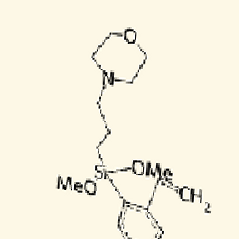 C=Cc1ccccc1[Si](CCCN1CCOCC1)(OC)OC